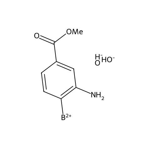 [B+2]c1ccc(C(=O)OC)cc1N.[OH-].[OH-]